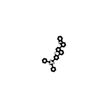 c1ccc(-c2nc(-c3ccccc3)nc(-c3ccc4c(c3)Oc3ccc(-c5cccc6c5sc5ccccc56)c5cccc-4c35)n2)cc1